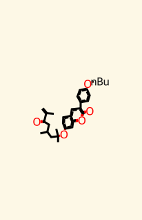 C=C(C)C(=O)CC(C)CC(C)(C)Oc1ccc2cc(-c3ccc(OCCCC)cc3)c(=O)oc2c1